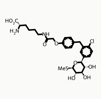 CS[C@H]1O[C@@H](c2ccc(Cl)c(Cc3ccc(OCC(=O)NCCCC[C@H](N)C(=O)O)cc3)c2)[C@H](O)[C@@H](O)[C@@H]1O